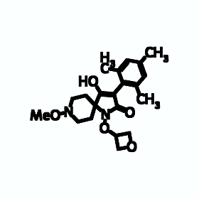 CON1CCC2(CC1)C(O)=C(c1c(C)cc(C)cc1C)C(=O)N2OC1COC1